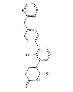 O=C1CCC(c2cccc(-c3ccc(Oc4ncccn4)cc3)c2Cl)C(=O)N1